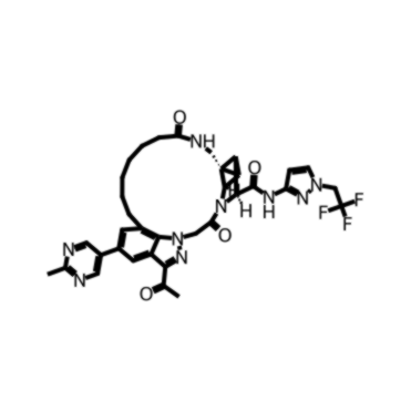 CC(=O)c1nn2c3c(cc(-c4cnc(C)nc4)cc13)CCCCCCC(=O)NC[C@]13C4C1[C@H]3N(C(=O)C2)[C@@H]4C(=O)Nc1ccn(CC(F)(F)F)n1